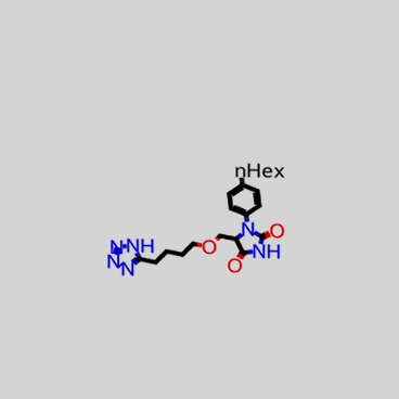 CCCCCCc1ccc(N2C(=O)NC(=O)C2COCCCCc2nnn[nH]2)cc1